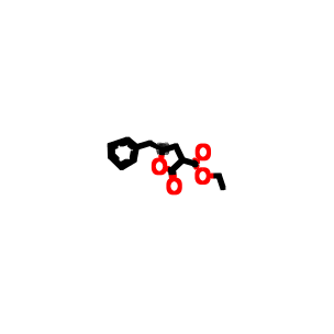 CCOC(=O)C1C[C@H](Cc2ccccc2)OC1=O